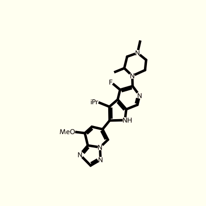 COc1cc(-c2[nH]c3cnc(N4CCN(C)CC4C)c(F)c3c2C(C)C)cn2ncnc12